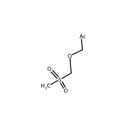 CC(=O)COCS(C)(=O)=O